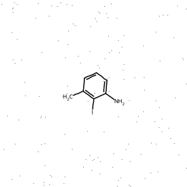 [CH2]c1cccc(N)c1I